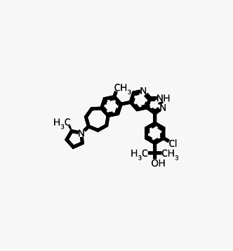 Cc1cc2c(cc1-c1cnc3[nH]nc(-c4ccc(C(C)(C)O)c(Cl)c4)c3c1)CCC(N1CCC[C@H]1C)CC2